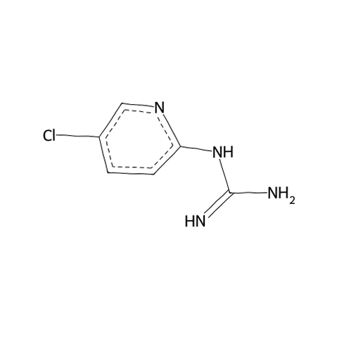 N=C(N)Nc1ccc(Cl)cn1